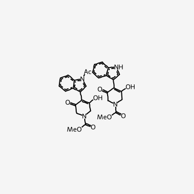 COC(=O)N1CC(=O)C(c2c[nH]c3ccccc23)=C(O)C1.COC(=O)N1CC(=O)C(c2cn(C(C)=O)c3ccccc23)=C(O)C1